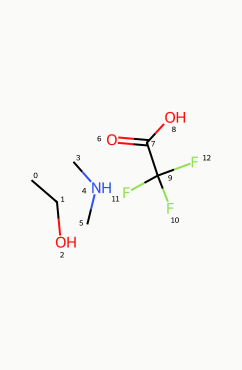 CCO.CNC.O=C(O)C(F)(F)F